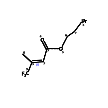 C/C(=C\C(=O)OCCC(C)C)C(F)(F)F